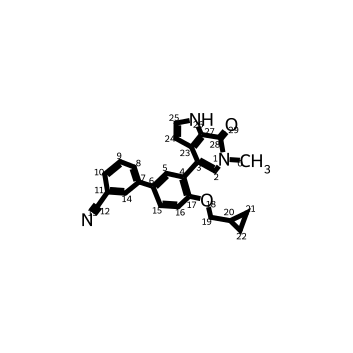 Cn1cc(-c2cc(-c3cccc(C#N)c3)ccc2OCC2CC2)c2cc[nH]c2c1=O